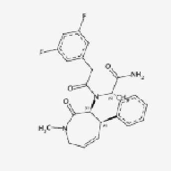 C[C@@H](C(N)=O)N(C(=O)Cc1cc(F)cc(F)c1)[C@@H]1C(=O)N(C)CC=C[C@@H]1c1ccccc1